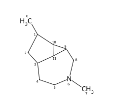 CC1CC2CCN(C)CC3C1C23